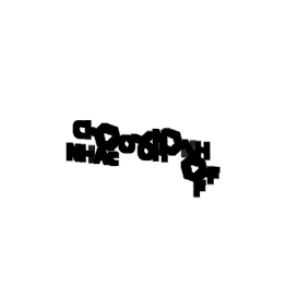 CC(=O)Nc1cc(Cl)ccc1OCC(O)CN1CCC(Nc2ccc(F)c(F)c2)CC1